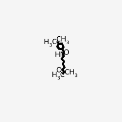 CC(C)C(=O)CCCCCNC(=O)c1ccc(C(C)C)cc1